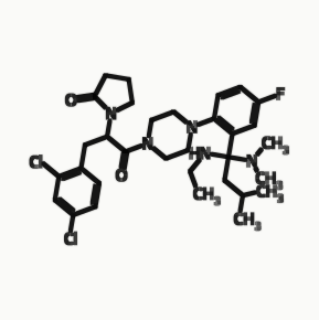 CCNC(CC(C)C)(c1cc(F)ccc1N1CCN(C(=O)C(Cc2ccc(Cl)cc2Cl)N2CCCC2=O)CC1)N(C)C